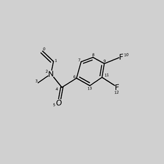 C=CN(C)C(=O)c1ccc(F)c(F)c1